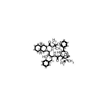 CC(C)(C)NC(=O)[C@@H]1C[C@@H]2CCCC[C@@H]2CN1C[C@@H](O)[C@H](Cc1ccccc1)NC(=O)[C@@H](NC(=O)c1cccnc1)C(C)(C)S(C)(=O)=O